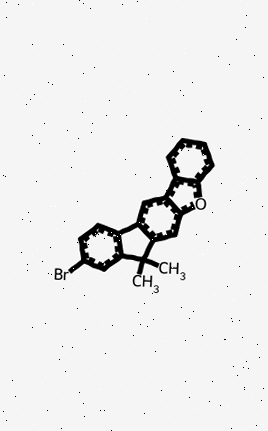 CC1(C)c2cc(Br)ccc2-c2cc3c(cc21)oc1ccccc13